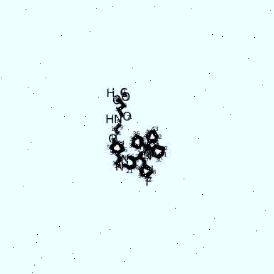 COC(=O)CCC(=O)NCCCOc1ccc(-c2cnc3ccc(-c4cn(C(c5ccccc5)(c5ccccc5)c5ccccc5)nc4-c4ccc(F)cc4)cn23)cc1